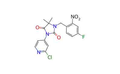 CC1(C)C(=O)N(c2ccnc(Cl)c2)C(=O)N1Cc1ccc(F)cc1[N+](=O)[O-]